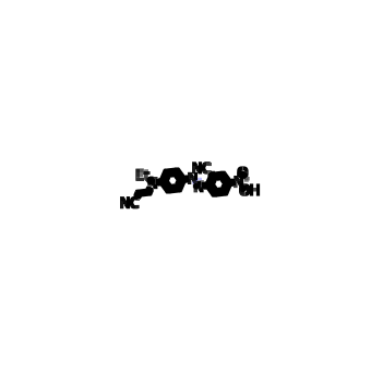 CCN(CCC#N)c1ccc(/N=N/c2ccc([N+](=O)O)cc2C#N)cc1